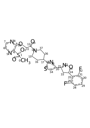 CS(=O)(=O)c1nccnc1OCC(=O)N1CCC(c2nc(C3=NOC(c4c(F)cccc4F)C3)cs2)CC1